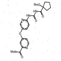 CNC(=O)c1cc(Oc2ccc(NC(=O)NC(=O)C3(OC)CCCC3)nc2)ccn1